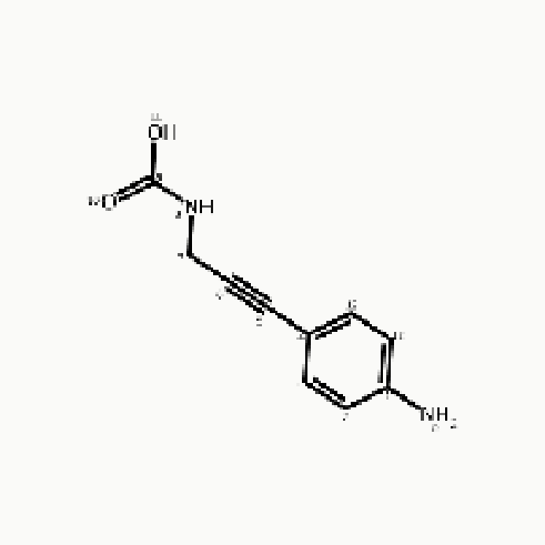 Nc1ccc(C#CCNC(=O)O)cc1